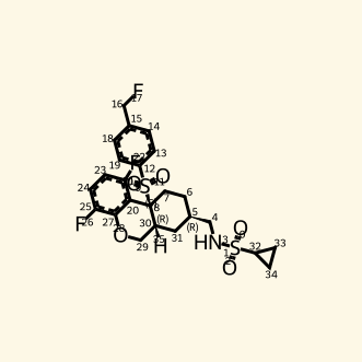 O=S(=O)(NC[C@@H]1CC[C@@]2(S(=O)(=O)c3ccc(CF)cc3)c3c(F)ccc(F)c3OC[C@H]2C1)C1CC1